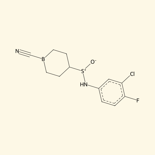 N#CB1CCC([S+]([O-])Nc2ccc(F)c(Cl)c2)CC1